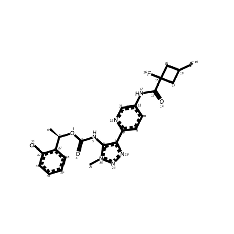 C[C@@H](OC(=O)Nc1c(-c2ccc(NC(=O)C3(F)CC(F)C3)cn2)nnn1C)c1ccccc1Cl